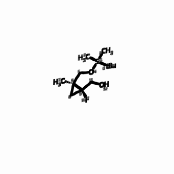 CC(C)(C)[Si](C)(C)OC[C@]1(C)C[C@@]1(F)CO